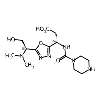 CN(C)[C@@H](CO)c1nnc([C@H](CC(=O)O)NC(=O)N2CCNCC2)o1